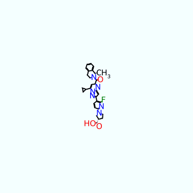 C[C@@H]1c2ccccc2CCN1C(=O)c1cc(C2CC2)n2nc(-c3ccc(N4CC[C@H](C(=O)O)C4)nc3F)cc2n1